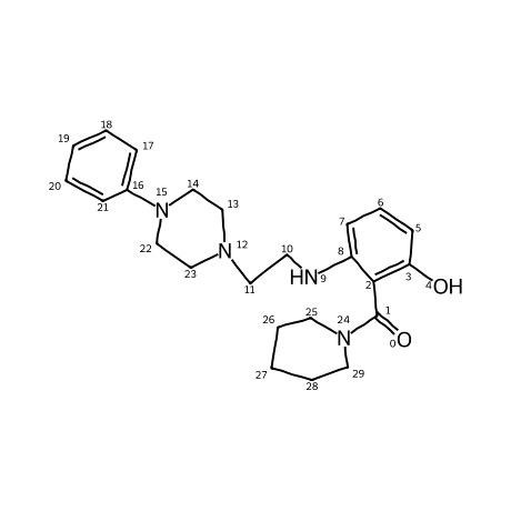 O=C(c1c(O)cccc1NCCN1CCN(c2ccccc2)CC1)N1CCCCC1